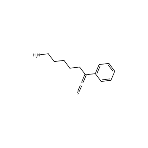 NCCCCCC(=C=S)c1ccccc1